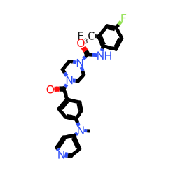 CN(c1ccncc1)c1ccc(C(=O)N2CCN(C(=O)Nc3ccc(F)cc3C(F)(F)F)CC2)cc1